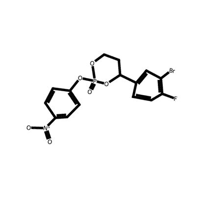 O=[N+]([O-])c1ccc(OP2(=O)OCCC(c3ccc(F)c(Br)c3)O2)cc1